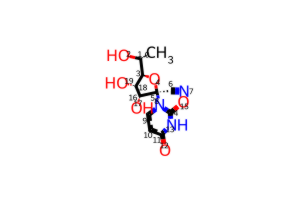 C[C@@H](O)[C@H]1O[C@@](C#N)(n2ccc(=O)[nH]c2=O)[C@H](O)[C@@H]1O